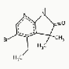 CCc1c(Br)cnc2c1C(C)(C)C(=O)N2